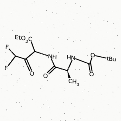 CCOC(=O)C(NC(=O)[C@H](C)NC(=O)OC(C)(C)C)C(=O)C(F)F